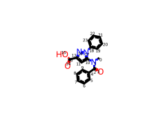 CN(C(=O)c1ccccc1)c1cc(C(=O)O)nn1-c1ccccc1